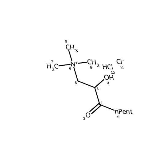 CCCCCC(=O)C(O)C[N+](C)(C)C.Cl.[Cl-]